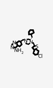 Nc1ncnc2cc(CN3CCN(Cc4cc5ccc(Cl)cc5s4)[C@@H](Cc4ccccc4)C3)ccc12